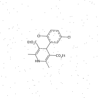 CCOC(=O)C1=C(C)NC(C)=C(C(=O)OCC)C1c1cc(Cl)ccc1Cl